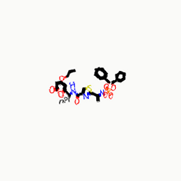 C=CCOc1cc(C(CCC)NC(=O)C2CSC(/C(C)=N/OP(=O)(OCc3ccccc3)OCc3ccccc3)=N2)oc(=O)c1